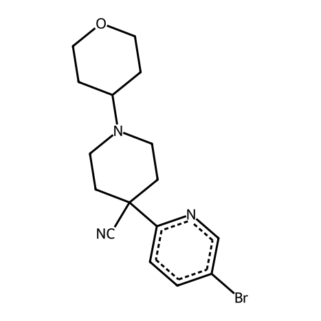 N#CC1(c2ccc(Br)cn2)CCN(C2CCOCC2)CC1